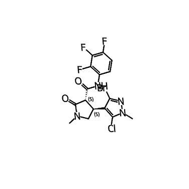 CN1C[C@H](c2c(Br)nn(C)c2Cl)[C@@H](C(=O)Nc2ccc(F)c(F)c2F)C1=O